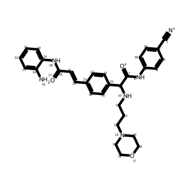 N#Cc1ccc(NC(=O)C(NCCCN2CCOCC2)c2ccc(C=CC(=O)Nc3ccccc3N)cc2)cc1